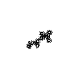 C1=CC(n2c3ccccc3c3cc(-c4ccc5c(c4)c4ccccc4n5-c4nc(-c5ccccc5)nc(-c5ccccc5)n4)ccc32)Cc2c1sc1ccccc21